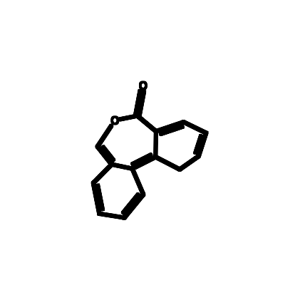 O=C1OC=c2ccccc2=C2CC=CC=C12